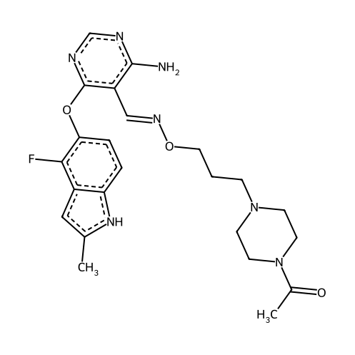 CC(=O)N1CCN(CCCO/N=C/c2c(N)ncnc2Oc2ccc3[nH]c(C)cc3c2F)CC1